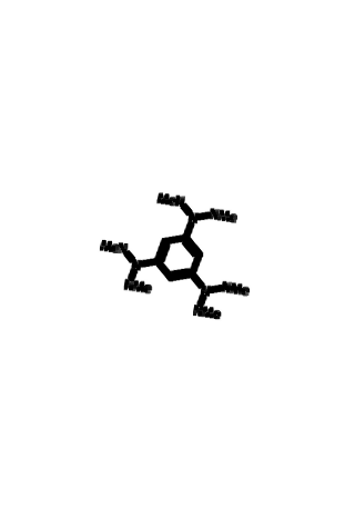 CNN(NC)c1cc(N(NC)NC)cc(N(NC)NC)c1